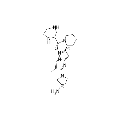 Cc1cn2nc([C@@H]3CCCCN3C(=O)C3CNCCN3)cc2nc1N1CC[C@H](N)C1